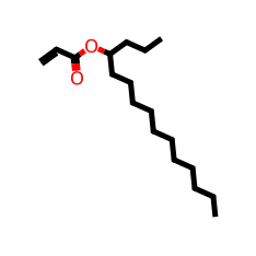 C=CC(=O)OC(CCC)CCCCCCCCCCC